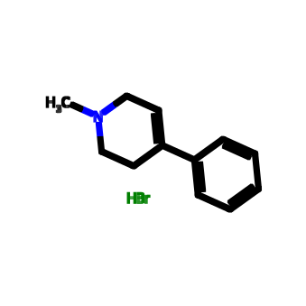 Br.CN1CC=C(c2ccccc2)CC1